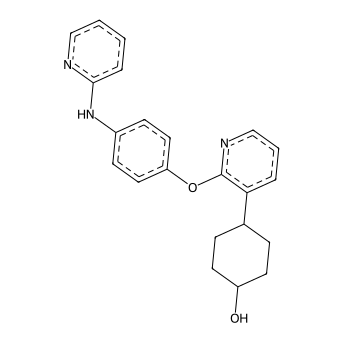 OC1CCC(c2cccnc2Oc2ccc(Nc3ccccn3)cc2)CC1